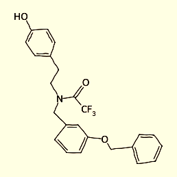 O=C(N(CCc1ccc(O)cc1)Cc1cccc(OCc2ccccc2)c1)C(F)(F)F